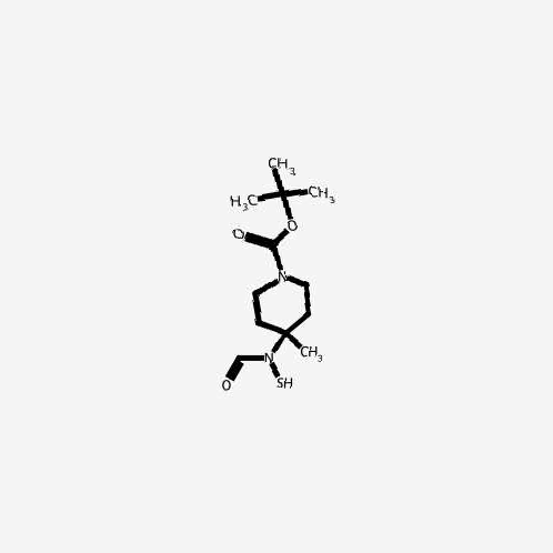 CC(C)(C)OC(=O)N1CCC(C)(N(S)C=O)CC1